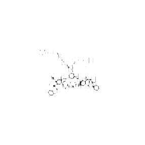 C=Nc1cc(OCc2cc(COc3cc4c(cc3OC)C(=O)N3c5ccccc5C[C@H]3CN4C)cc(N(CCCC(=O)O)CCOCCOCCOC)c2)c(OC)cc1C(=O)N1CCc2ccccc21